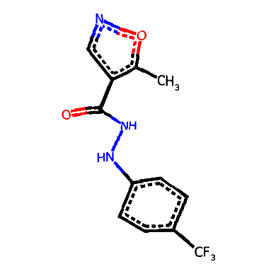 Cc1oncc1C(=O)NNc1ccc(C(F)(F)F)cc1